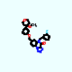 COC1(c2cccc(OCc3ccc4c(c3)n(Cc3cccc(F)c3)c(=O)c3nnnn34)c2)CCOCC1